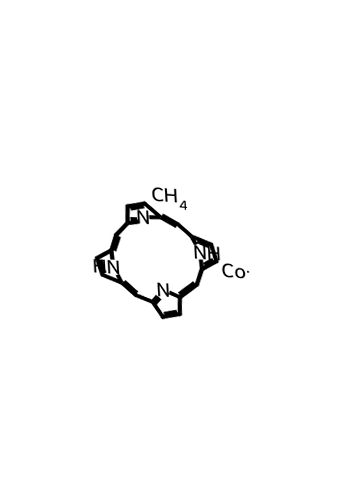 C.C1=Cc2cc3ccc(cc4nc(cc5ccc(cc1n2)[nH]5)C=C4)[nH]3.[Co]